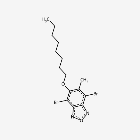 CCCCCCCCOc1c(C)c(Br)c2nonc2c1Br